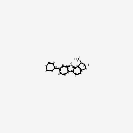 CC1NCc2ccc3c(oc4cc(C5C=CCCC5)ccc43)c21